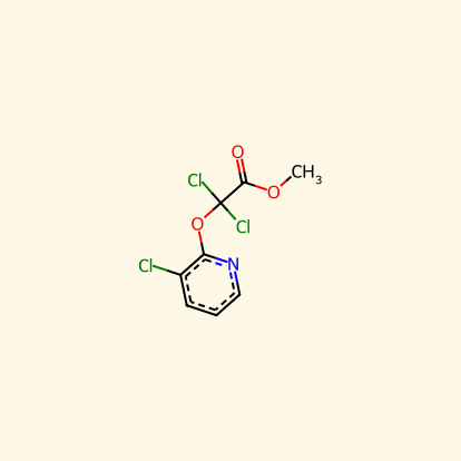 COC(=O)C(Cl)(Cl)Oc1ncccc1Cl